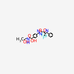 CC(O)CNC(=O)C(O)c1ccc(-c2noc(-c3onc(-c4ccccc4)c3C(F)(F)F)n2)cc1